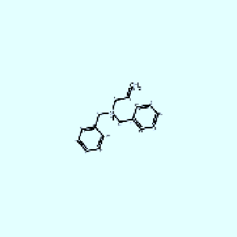 C=CC[SiH](Cc1ccccc1)Cc1ccccc1